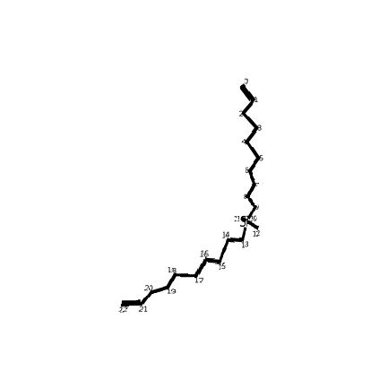 C=CCCCCCCCC[Si](C)(C)CCCCCCCCC=C